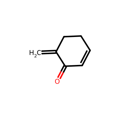 C=C1CCC=CC1=O